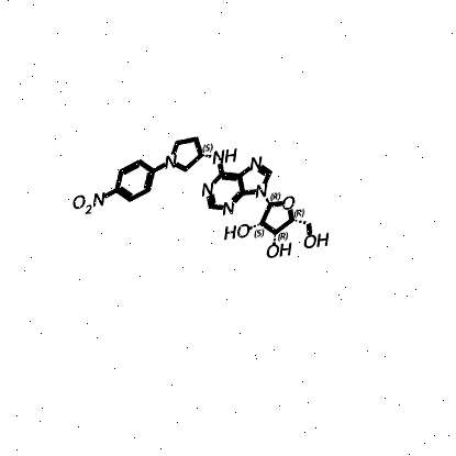 O=[N+]([O-])c1ccc(N2CC[C@H](Nc3ncnc4c3ncn4[C@@H]3O[C@H](CO)[C@H](O)[C@@H]3O)C2)cc1